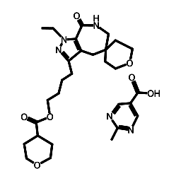 CCn1nc(CCCCOC(=O)C2CCOCC2)c2c1C(=O)NCC1(CCOCC1)C2.Cc1ncc(C(=O)O)cn1